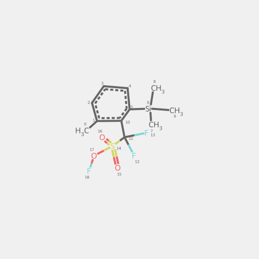 Cc1cccc([Si](C)(C)C)c1C(F)(F)S(=O)(=O)OF